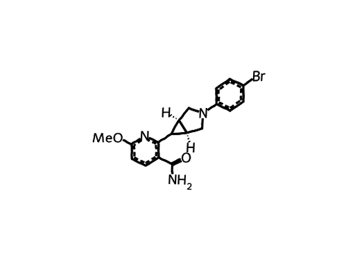 COc1ccc(C(N)=O)c(C2[C@H]3CN(c4ccc(Br)cc4)C[C@@H]23)n1